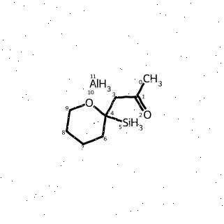 CC(=O)CC1([SiH3])CCCCO1.[AlH3]